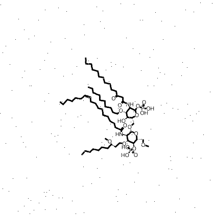 CCCCCC/C=C\CCCCCCCCCC(=O)N[C@H]1[C@H](OC[C@H]2OC(OP(=O)(O)O)[C@H](NC(=O)CC(=O)CCCCCCCCCCC)[C@@H](OCCCCCCCCCC)[C@@H]2O)O[C@H](COC)[C@@H](OP(=O)(O)O)[C@@H]1OCC[C@@H](CCCCCCC)OC